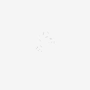 COCCn1cc(-c2oc3c([C@@H](C)O)cc(C)cc3c(=O)c2C)cn1